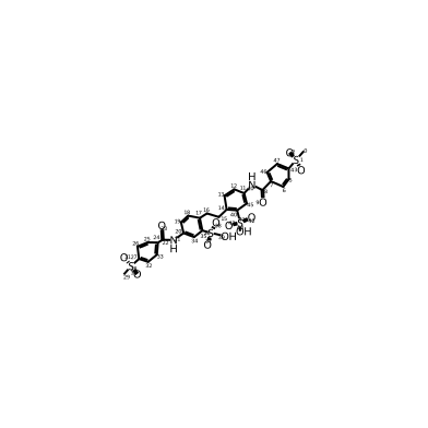 CS(=O)(=O)c1ccc(C(=O)Nc2ccc(CCc3ccc(NC(=O)c4ccc(S(C)(=O)=O)cc4)cc3S(=O)(=O)O)c(S(=O)(=O)O)c2)cc1